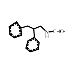 O=[C]NCC(Cc1ccccc1)c1ccccc1